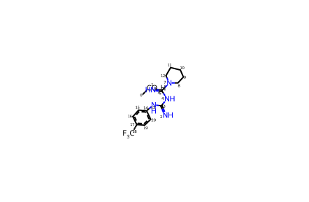 CC(=O)O.N=C(NC(=N)N1CCCCC1)Nc1ccc(C(F)(F)F)cc1